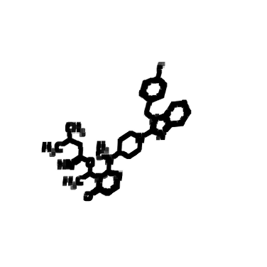 CC(C)CC(=N)OC(C)n1c(N(C)C2CCN(c3nc4ccccc4n3Cc3ccc(F)cc3)CC2)nccc1=O